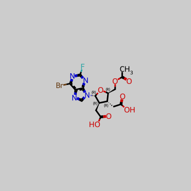 CC(=O)OC[C@@H]1O[C@@H](n2cnc3c(Br)nc(F)nc32)[C@H](CC(=O)O)[C@H]1CC(=O)O